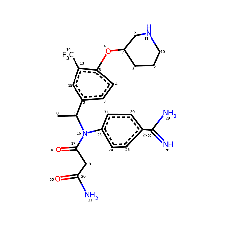 CC(c1ccc(OC2CCCNC2)c(C(F)(F)F)c1)N(C(=O)CC(N)=O)c1ccc(C(=N)N)cc1